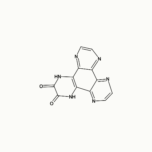 O=c1[nH]c2c3nccnc3c3nccnc3c2[nH]c1=O